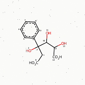 O=C(O)CC(O)(c1ccccc1)C(O)C(O)C(=O)O